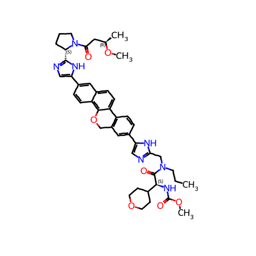 CCCN(Cc1ncc(-c2ccc3c(c2)COc2c-3ccc3cc(-c4cnc([C@@H]5CCCN5C(=O)C[C@@H](C)OC)[nH]4)ccc23)[nH]1)C(=O)[C@@H](NC(=O)OC)C1CCOCC1